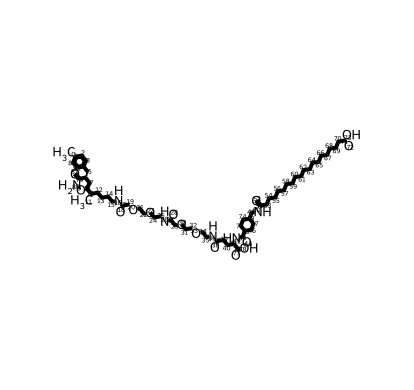 Cc1ccc(C[C@@H](CC(=O)[C@@H](C)CCCCNC(=O)COCCOCCNC(=O)COCCOCCNC(=O)CCC(NC(=O)C2CCC(CNC(=O)CCCCCCCCCCCCCCCCCCC(=O)O)CC2)C(=O)O)C(N)=O)cc1